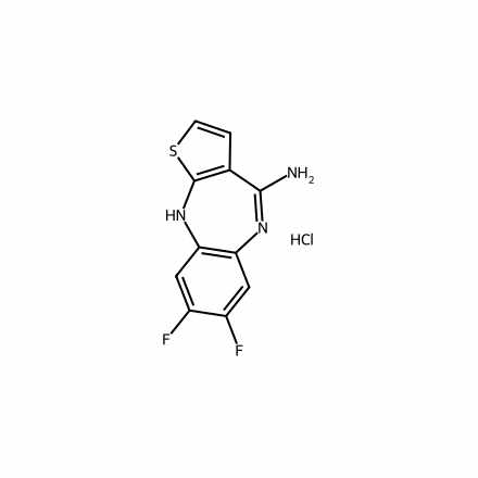 Cl.NC1=Nc2cc(F)c(F)cc2Nc2sccc21